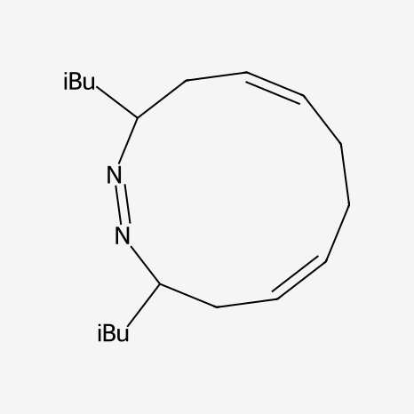 CCC(C)C1CC=CCCC=CCC(C(C)CC)N=N1